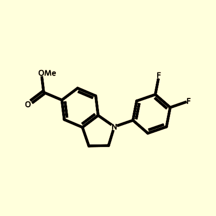 COC(=O)c1ccc2c(c1)CCN2c1ccc(F)c(F)c1